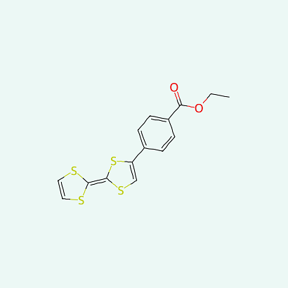 CCOC(=O)c1ccc(C2=CSC(=C3SC=CS3)S2)cc1